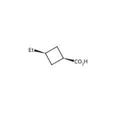 CC[C@H]1C[C@@H](C(=O)O)C1